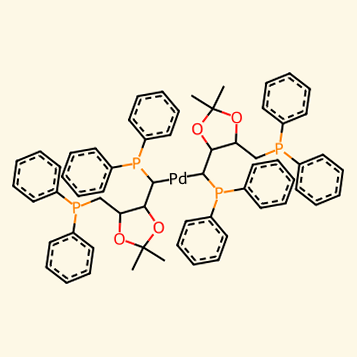 CC1(C)OC(CP(c2ccccc2)c2ccccc2)C([CH]([Pd][CH](C2OC(C)(C)OC2CP(c2ccccc2)c2ccccc2)P(c2ccccc2)c2ccccc2)P(c2ccccc2)c2ccccc2)O1